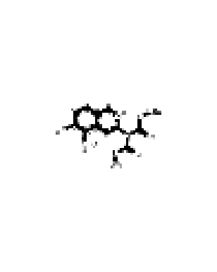 CC(C)(C)OC(=O)N(C(=O)OC(C)(C)C)c1cc2c(C=O)c(F)ccc2cn1